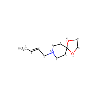 O=C(O)/C=C/CN1CCC2(CC1)OCCO2